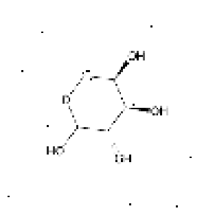 OC1OC[C@@H](O)[C@@H](O)[C@@H]1O